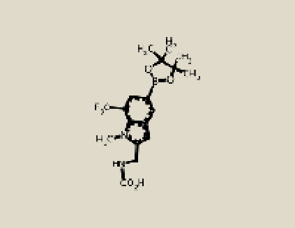 Cn1c(CNC(=O)O)cc2cc(B3OC(C)(C)C(C)(C)O3)cc(C(F)(F)F)c21